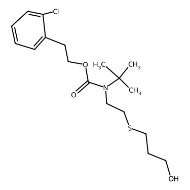 CC(C)(C)N(CCSCCCO)C(=O)OCCc1ccccc1Cl